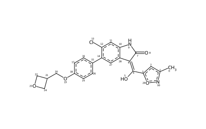 Cc1cc(C(O)=C2C(=O)Nc3cc(Cl)c(-c4ccc(OCC5COC5)cc4)cc32)on1